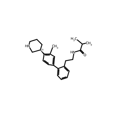 Cc1cc(-c2ccccc2CCNC(=O)C(C)C)ccc1[C@@H]1CCCNC1